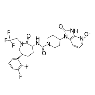 O=C(N[C@@H]1CC[C@@H](c2cccc(F)c2F)CN(CC(F)(F)F)C1=O)N1CCC(n2c(=O)[nH]c3c2ccc[n+]3[O-])CC1